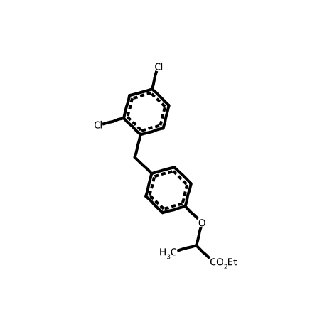 CCOC(=O)C(C)Oc1ccc(Cc2ccc(Cl)cc2Cl)cc1